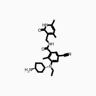 CCN(c1cc(C#N)cc(C(=O)NCc2c(C)cc(C)[nH]c2=O)c1C)[C@H]1CC[C@H](N)CC1